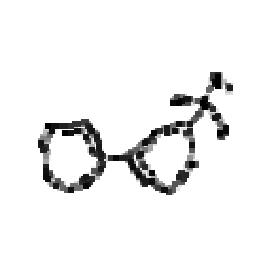 NS(=O)(=O)c1[c]ccc(-c2ccccc2)c1